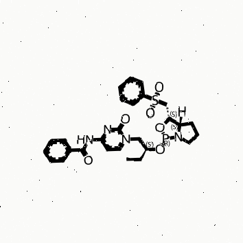 CC[C@@H](Cn1ccc(NC(=O)c2ccccc2)nc1=O)O[P@@]1O[C@H](CS(=O)(=O)c2ccccc2)[C@@H]2CCCN21